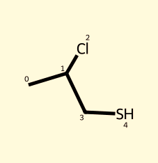 CC(Cl)CS